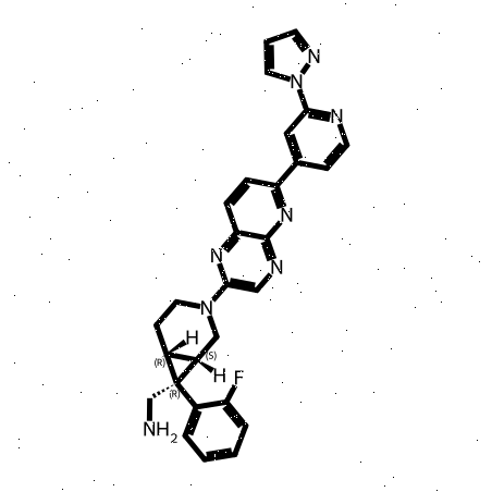 NC[C@]1(c2ccccc2F)[C@@H]2CCN(c3cnc4nc(-c5ccnc(-n6cccn6)c5)ccc4n3)C[C@@H]21